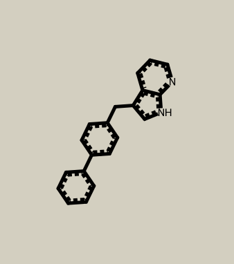 c1ccc(-c2ccc(Cc3c[nH]c4ncccc34)cc2)cc1